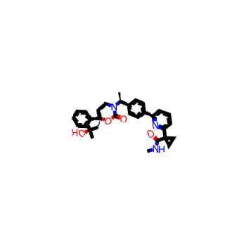 CNC(=O)C1(c2cccc(-c3ccc([C@H](C)N4CC[C@](CC(C)(C)O)(c5ccccc5)OC4=O)cc3)n2)CC1